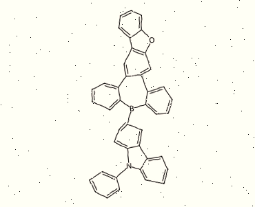 c1ccc(-n2c3ccccc3c3cc(B4c5ccccc5-c5cc6oc7ccccc7c6cc5-c5ccccc54)ccc32)cc1